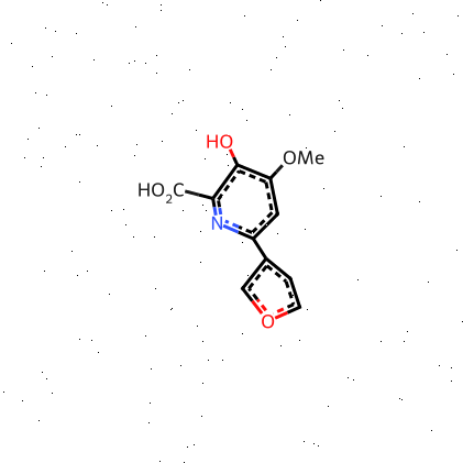 COc1cc(-c2ccoc2)nc(C(=O)O)c1O